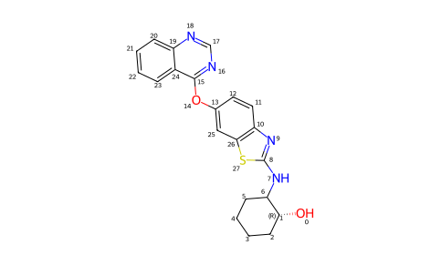 O[C@@H]1CCCCC1Nc1nc2ccc(Oc3ncnc4ccccc34)cc2s1